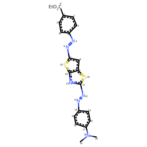 CCOC(=O)c1ccc(N=Nc2cc3sc(N=Nc4ccc(N(C)C)cc4)nc3s2)cc1